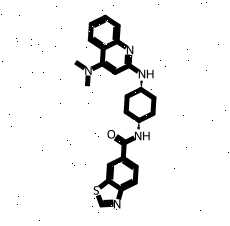 CN(C)c1cc(N[C@H]2CC[C@@H](NC(=O)c3ccc4ncsc4c3)CC2)nc2ccccc12